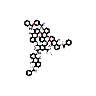 NC(=O)c1cc(C(=O)Nc2cccc3c2C(=O)c2cccc(NC(=O)c4ccccc4)c2C3=O)c(C(=O)Nc2cccc3c2C(=O)c2cccc(NC(=O)c4ccccc4)c2C3=O)cc1C(=O)N(c1cccc2c1C(=O)c1cccc(NC(=O)c3ccccc3)c1C2=O)c1cccc2c1C(=O)c1cccc(NC(=O)c3ccccc3)c1C2=O